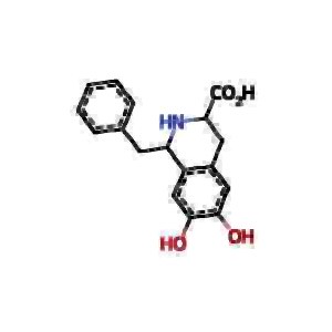 O=C(O)C1Cc2cc(O)c(O)cc2C(Cc2ccccc2)N1